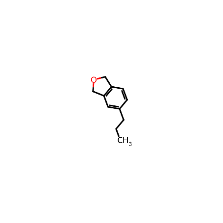 CCCc1ccc2c(c1)COC2